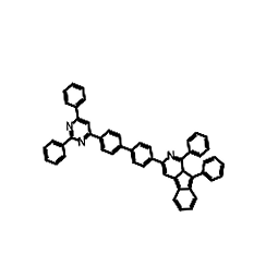 C1=C(c2ccc(-c3ccc(-c4cc(-c5ccccc5)nc(-c5ccccc5)n4)cc3)cc2)N=C(c2ccccc2)C2C1=c1ccccc1=C2c1ccccc1